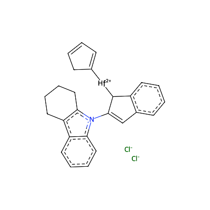 C1=CC[C]([Hf+2][CH]2C(n3c4c(c5ccccc53)CCCC4)=Cc3ccccc32)=C1.[Cl-].[Cl-]